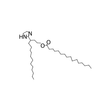 CCCCCCCCCCCCCCCC(=O)OCCCC(CCCCCCCCCCCC)C1=NCCN1